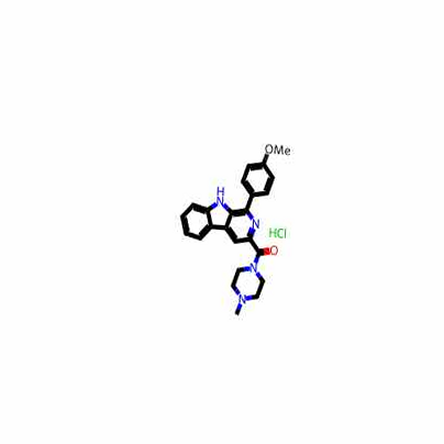 COc1ccc(-c2nc(C(=O)N3CCN(C)CC3)cc3c2[nH]c2ccccc23)cc1.Cl